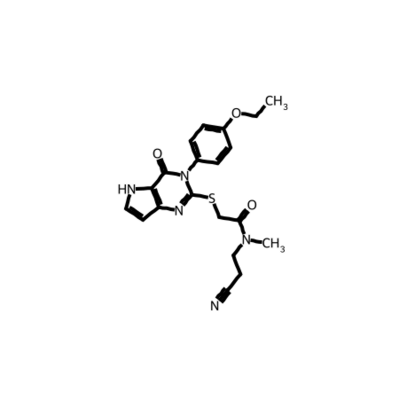 CCOc1ccc(-n2c(SCC(=O)N(C)CCC#N)nc3cc[nH]c3c2=O)cc1